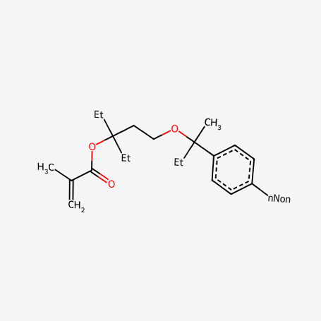 C=C(C)C(=O)OC(CC)(CC)CCOC(C)(CC)c1ccc(CCCCCCCCC)cc1